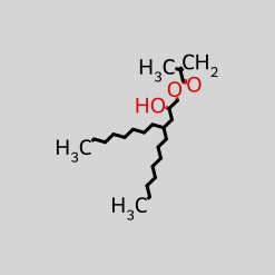 C=C(C)C(=O)OCC(O)CC(CCCCCCCC)CCCCCCCC